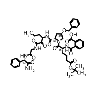 CCCC(NC(=O)[C@@H]1C[C@@H](OCc2ccccc2)CN1C(=O)[C@H](CCCC(=O)OC(C)(C)C)NC(=O)c1ccccc1C(=O)O)C(=O)C(=O)NCC(=O)N[C@H](C(N)=O)c1ccccc1